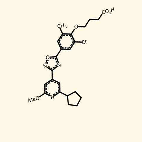 CCc1cc(-c2nc(-c3cc(OC)nc(C4CCCC4)c3)no2)cc(C)c1OCCCC(=O)O